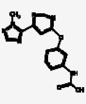 Cn1ncnc1-c1cc(Oc2cccc(NC(=O)O)c2)ncn1